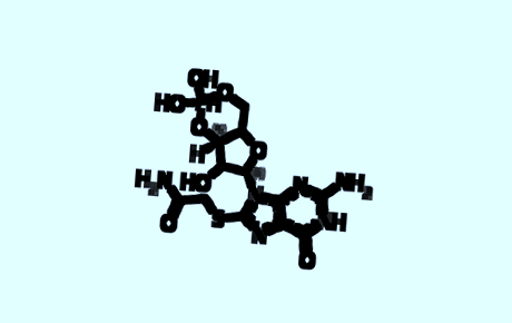 NC(=O)CSc1nc2c(=O)[nH]c(N)nc2n1[C@@H]1OC2CO[PH](O)(O)O[C@H]2C1O